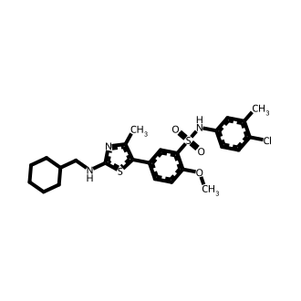 COc1ccc(-c2sc(NCC3CCCCC3)nc2C)cc1S(=O)(=O)Nc1ccc(Cl)c(C)c1